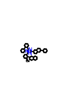 C[Si]1(C)c2cc3ccccc3cc2-c2c(-c3nc(-c4ccc5cc(-c6ccccc6)ccc5c4)nc(-c4ccccc4-c4ccccc4)n3)cccc21